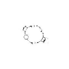 O=C(O)c1c2cccc1c1ccc(cc1)c1ccc(cc1)c1cccc(c1C(=O)O)c1ccc(cc1)c1ccc2cc1